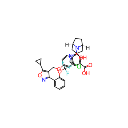 O=C(O)c1ccnc(N2[C@@H]3CC[C@H]2C[C@](O)(c2ccc(OCc4c(-c5ccccc5OC(F)(F)F)noc4C4CC4)cc2Cl)C3)c1